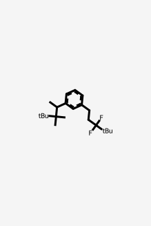 CC(c1cccc(CCC(F)(F)C(C)(C)C)c1)C(C)(C)C(C)(C)C